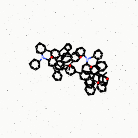 CC1(C)c2ccccc2C2(c3ccccc3-c3cc(-c4ccccc4N(c4ccccc4)c4ccc5c(c4)-c4ccccc4C5(c4ccccc4)c4ccc(-c5ccc6c(c5)-c5ccccc5C65c6ccccc6C(C)(C)c6cc(-c7ccccc7N(c7ccccc7)c7cccc8c7-c7ccccc7C8(c7ccccc7)c7ccccc7)ccc65)cc4)ccc32)c2ccccc21